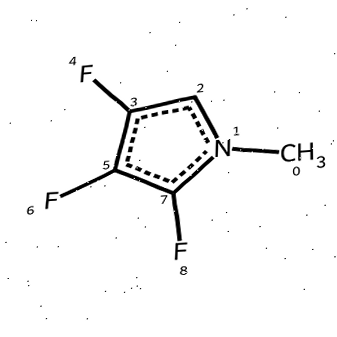 Cn1cc(F)c(F)c1F